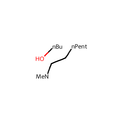 CCCCCCCNC.CCCCO